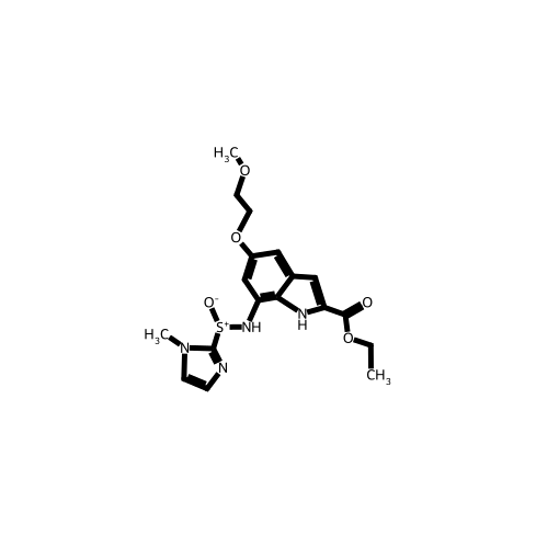 CCOC(=O)c1cc2cc(OCCOC)cc(N[S+]([O-])c3nccn3C)c2[nH]1